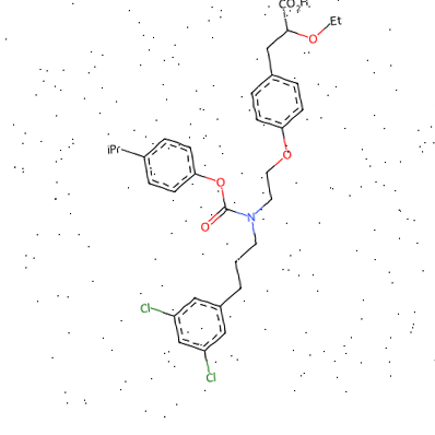 CCOC(Cc1ccc(OCCN(CCCc2cc(Cl)cc(Cl)c2)C(=O)Oc2ccc(C(C)C)cc2)cc1)C(=O)O